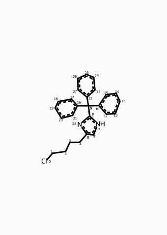 ClCCCCc1c[nH]c(C(c2ccccc2)(c2ccccc2)c2ccccc2)n1